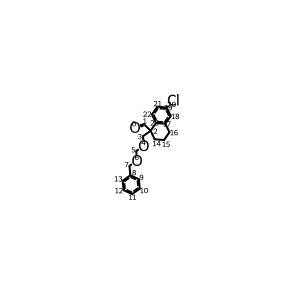 O=CC1(COCOCc2ccccc2)CCCc2cc(Cl)ccc21